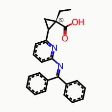 CC[C@]1(C(=O)O)CC1c1cccc(N=C(c2ccccc2)c2ccccc2)n1